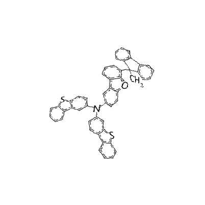 CC1(c2cccc3c2oc2ccc(N(c4ccc5c(c4)sc4ccccc45)c4ccc5sc6ccccc6c5c4)cc23)c2ccccc2-c2ccccc21